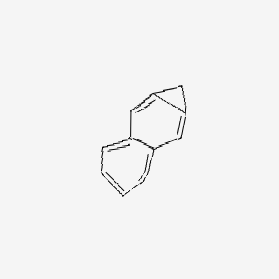 c1ccc2cc3c(cc2c1)C3